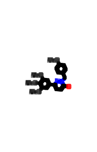 COc1ccc(Cn2nc(-c3cc(OC)c(OC)c(OC)c3)ccc2=O)cc1